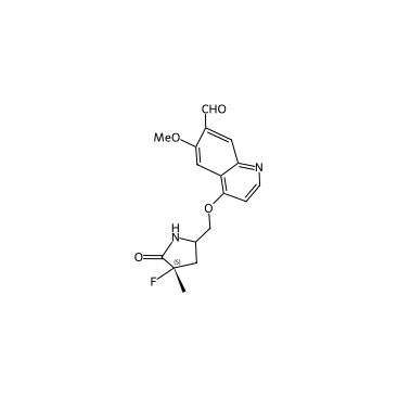 COc1cc2c(OCC3C[C@](C)(F)C(=O)N3)ccnc2cc1C=O